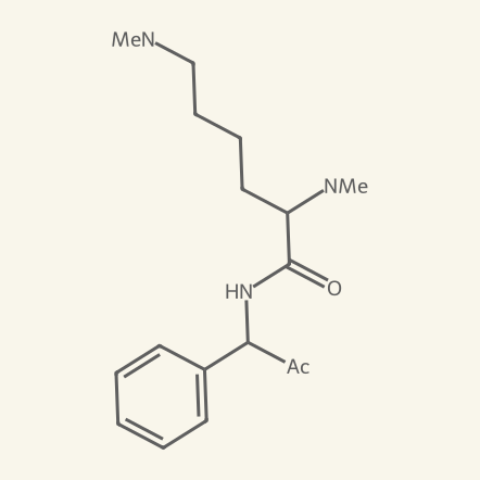 CNCCCCC(NC)C(=O)NC(C(C)=O)c1ccccc1